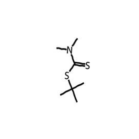 CN(C)C(=S)SC(C)(C)C